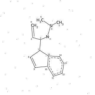 C=CC([N][Si](C)C)C1C=Cc2ccccc21